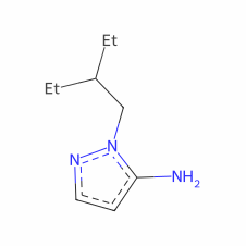 CCC(CC)Cn1nccc1N